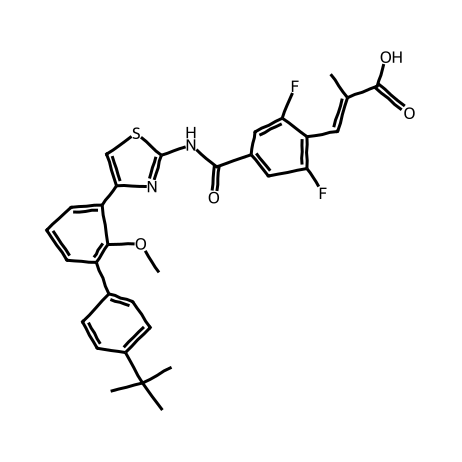 COc1c(-c2ccc(C(C)(C)C)cc2)cccc1-c1csc(NC(=O)c2cc(F)c(C=C(C)C(=O)O)c(F)c2)n1